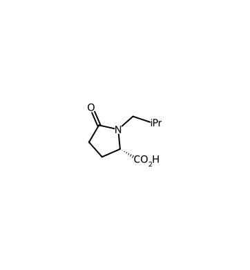 CC(C)CN1C(=O)CC[C@H]1C(=O)O